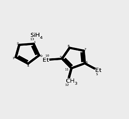 C1=CCC=C1.CCC1=CCC(CC)=C1C.[SiH4]